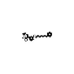 CCC(C(=O)N(C)C1CC1)c1cccc(OCCCCCCCc2ccccc2)c1